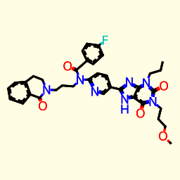 CCCn1c(=O)n(CCCOC)c(=O)c2[nH]c(-c3ccc(N(CCCN4CCc5ccccc5C4=O)C(=O)c4ccc(F)cc4)nc3)nc21